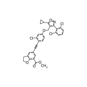 COC(=O)c1cc(C#Cc2ccc(OCc3c(-c4c(Cl)cccc4Cl)noc3C3CC3)cc2Cl)cc2c1OCC2